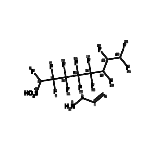 C=CCN.O=S(=O)(O)C(F)C(F)(F)C(F)(F)C(F)(F)C(F)(F)C(F)C(F)C(F)F